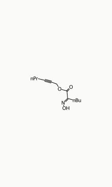 CCCC#CCOC(=O)C(CCCC)=NO